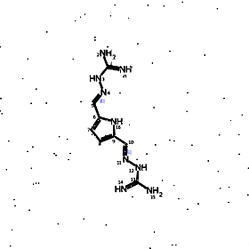 N=C(N)N/N=C/c1ccc(/C=N/NC(=N)N)[nH]1